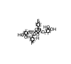 Oc1ccc(COC[C@@H](OCc2ccc(F)cc2)[C@@H](O)[C@H](O)[C@@H](COCc2ccc(O)c(O)c2)OCc2ccc(F)cc2)cc1O